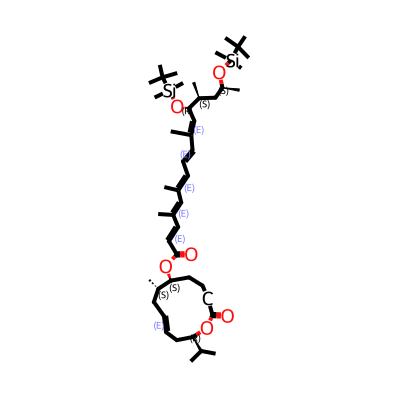 CC(=C\C=C\C(C)=C\[C@H](O[Si](C)(C)C(C)(C)C)[C@@H](C)C[C@H](C)O[Si](C)(C)C(C)(C)C)/C=C(C)/C=C/C(=O)O[C@H]1CCCC(=O)O[C@@H](C(C)C)C/C=C/C[C@@H]1C